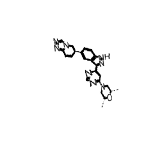 C[C@@H]1CN(c2cc(-c3n[nH]c4ccc([C@H]5C=Cc6nncn6C5)cc34)ncn2)C[C@H](C)O1